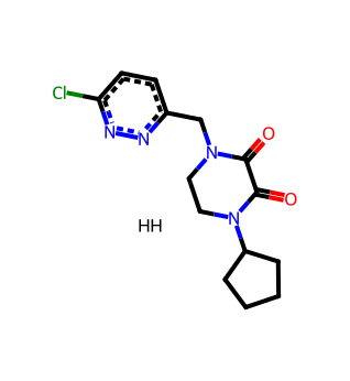 O=C1C(=O)N(C2CCCC2)CCN1Cc1ccc(Cl)nn1.[HH]